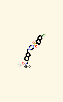 CC(C)(C)ON(C=O)C[C@H]1CCc2cc(CN3CCN(S(=O)(=O)c4ccc5cc(Cl)ccc5c4)CC3)ccc2C1